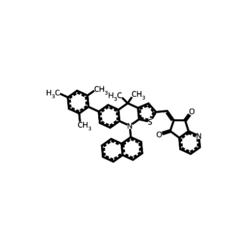 Cc1cc(C)c(-c2ccc3c(c2)C(C)(C)c2cc(/C=C4\C(=O)c5cccnc5C4=O)sc2N3c2cccc3ccccc23)c(C)c1